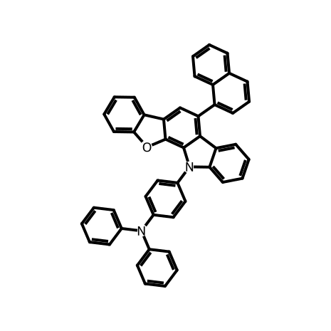 c1ccc(N(c2ccccc2)c2ccc(-n3c4ccccc4c4c(-c5cccc6ccccc56)cc5c6ccccc6oc5c43)cc2)cc1